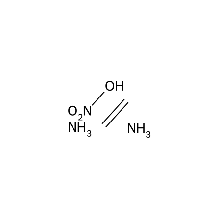 C=C.N.N.O=[N+]([O-])O